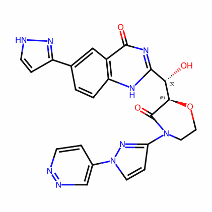 O=C1[C@@H]([C@@H](O)c2nc(=O)c3cc(-c4cc[nH]n4)ccc3[nH]2)OCCN1c1ccn(-c2ccnnc2)n1